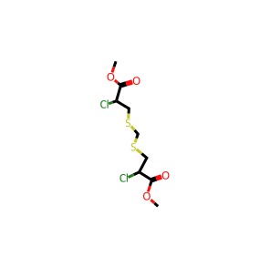 COC(=O)C(Cl)CSCSCC(Cl)C(=O)OC